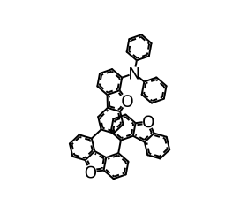 c1ccc(N(c2ccccc2)c2cccc3c2oc2ccc(-c4cccc5oc6cccc(-c7cccc8oc9ccccc9c78)c6c45)cc23)cc1